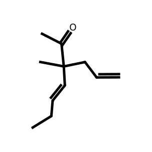 C=CCC(C)(C=CCC)C(C)=O